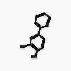 Oc1[c]c(-c2[c]cccc2)ccc1O